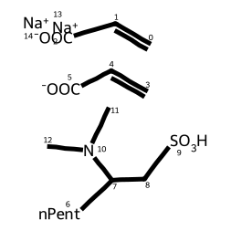 C=CC(=O)[O-].C=CC(=O)[O-].CCCCCC(CS(=O)(=O)O)N(C)C.[Na+].[Na+]